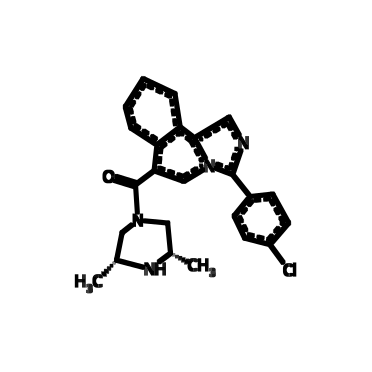 C[C@@H]1CN(C(=O)c2cn3c(-c4ccc(Cl)cc4)ncc3c3ccccc23)C[C@H](C)N1